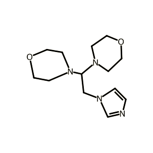 c1cn(CC(N2CCOCC2)N2CCOCC2)cn1